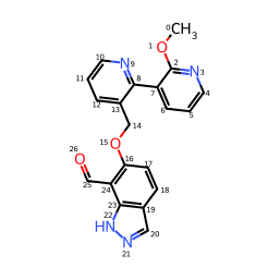 COc1ncccc1-c1ncccc1COc1ccc2cn[nH]c2c1C=O